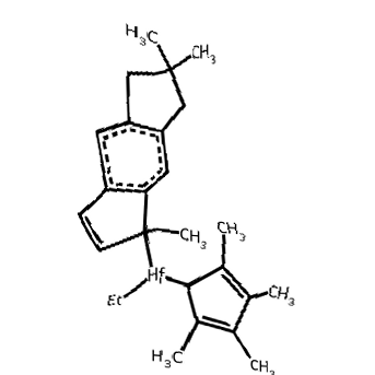 C[CH2][Hf]([CH]1C(C)=C(C)C(C)=C1C)[C]1(C)C=Cc2cc3c(cc21)CC(C)(C)C3